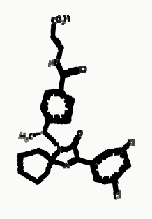 C[C@H](c1ccc(C(=O)NCCC(=O)O)cc1)N1C(=O)C(c2cc(Cl)cc(Cl)c2)=NC12CCCCC2